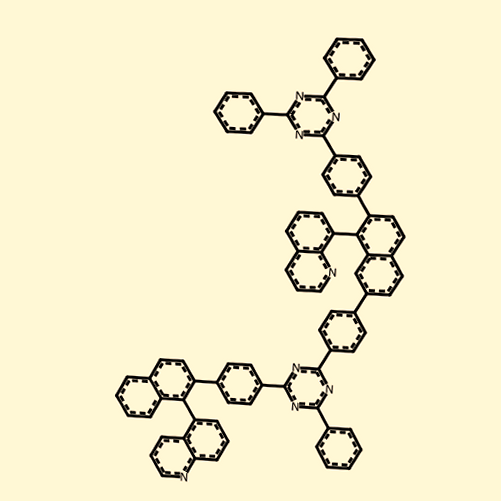 c1ccc(-c2nc(-c3ccc(-c4ccc5ccc(-c6ccc(-c7nc(-c8ccccc8)nc(-c8ccccc8)n7)cc6)c(-c6cccc7cccnc67)c5c4)cc3)nc(-c3ccc(-c4ccc5ccccc5c4-c4cccc5ncccc45)cc3)n2)cc1